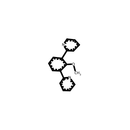 COc1c(-c2ccccn2)cccc1-c1ccccn1